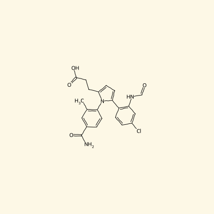 Cc1cc(C(N)=O)ccc1-n1c(CCC(=O)O)ccc1-c1ccc(Cl)cc1NC=O